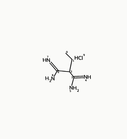 CCC(C(=N)N)C(=N)N.Cl